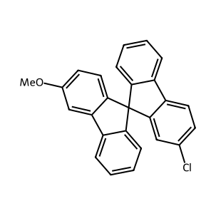 COc1ccc2c(c1)-c1ccccc1C21c2ccccc2-c2ccc(Cl)cc21